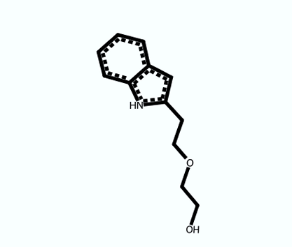 OCCOCCc1cc2ccccc2[nH]1